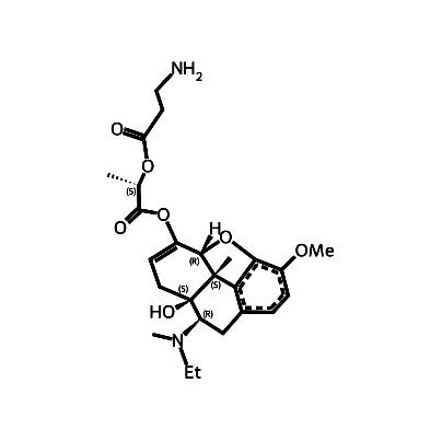 CCN(C)[C@@H]1Cc2ccc(OC)c3c2[C@@]2(C)[C@@H](O3)C(OC(=O)[C@H](C)OC(=O)CCN)=CC[C@@]12O